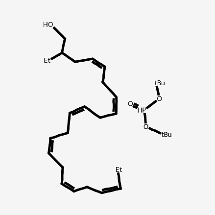 CC(C)(C)O[PH](=O)OC(C)(C)C.CC/C=C\C/C=C\C/C=C\C/C=C\C/C=C\C/C=C\CC(CC)CO